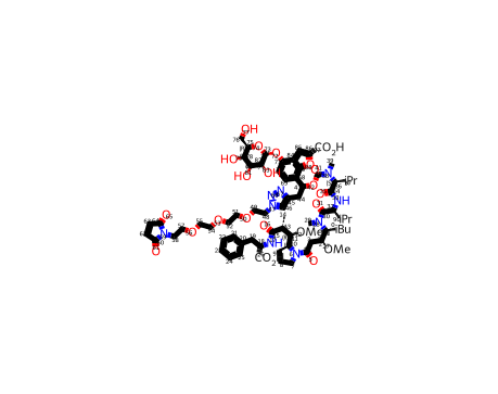 CCC(C)[C@@H]([C@@H](CC(=O)N1CCC[C@H]1[C@H](OC)[C@@H](C)C(=O)NC(Cc1ccccc1)C(=O)O)OC)N(C)C(=O)[C@@H](NC(=O)[C@H](C(C)C)N(C)C(=O)OC(Cc1cn(CCOCCOCCOCCN2C(=O)C=CC2=O)nn1)c1ccc(O[C@@H]2O[C@H](CO)[C@H](O)[C@H](O)[C@H]2O)c2cc(C(=O)O)oc12)C(C)C